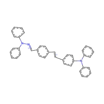 C(=C\c1ccc(N(c2ccccc2)c2ccccc2)cc1)/c1ccc(/C=N/N(c2ccccc2)c2ccccc2)cc1